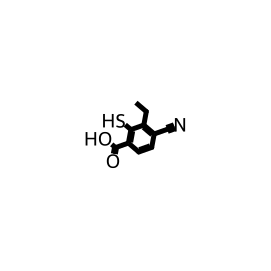 CCc1c(C#N)ccc(C(=O)O)c1S